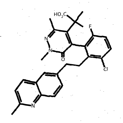 Cc1ccc2cc(CCc3c(Cl)ccc(F)c3-c3c(C(C)(C)C(=O)O)c(C)nn(C)c3=O)ccc2n1